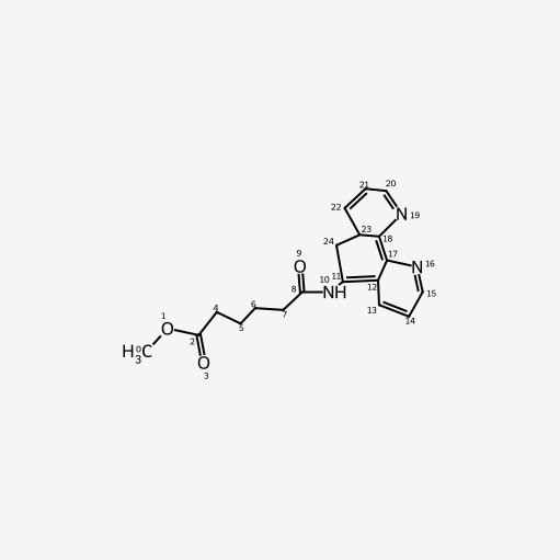 COC(=O)CCCCC(=O)NC1=c2cccnc2=C2N=CC=CC2C1